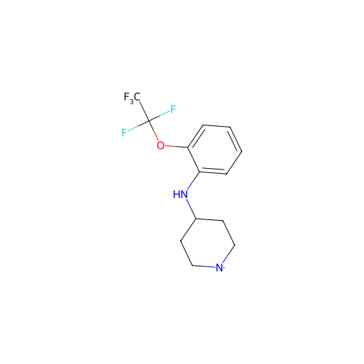 FC(F)(F)C(F)(F)Oc1ccccc1NC1CC[N]CC1